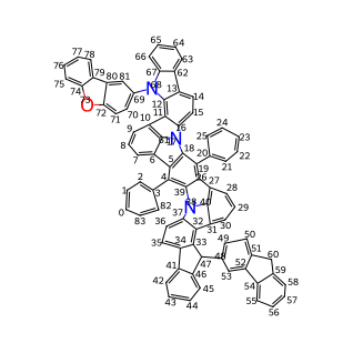 c1ccc(-c2c3c4cccc5c6c7c(ccc6n(c3c(-c3ccccc3)c3c6cccc8c9c%10c(ccc9n(c23)c86)-c2ccccc2C%10c2ccc3c(c2)-c2ccccc2C3)c45)c2ccccc2n7-c2ccc3oc4ccccc4c3c2)cc1